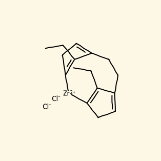 CCC1=[C]2CC=C1CCC1=CC[C](=C1CC)[Zr+2]2.[Cl-].[Cl-]